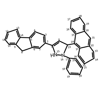 C1=C(c2ccc3c(c2)Cc2ccccc2-3)NN(c2ccccc2)C1c1c2ccccc2cc2ccccc12